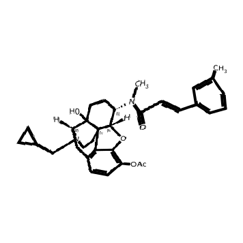 CC(=O)Oc1ccc2c3c1O[C@H]1[C@@H](N(C)C(=O)C=Cc4cccc(C)c4)CCC4(O)[C@@H](C2)N(CC2CC2)CC[C@]314